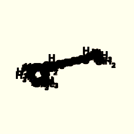 CO[C@H]1C[C@@H]2CC[C@@H](C)[C@@](O)(O2)C(=O)C(=O)N2CCCC[C@H]2C(=O)O[C@H]([C@H](N)C[C@@H]2CC[C@@H](OC(=O)NCCOCCOCCOCCOCCOCCOCCOCCOCCC(=O)NCc3ccc(Cn4nc(-c5ccc6oc(N)nc6c5)c5c(N)ncnc54)cc3)[C@H](OC)C2)C[C@@H](OC)[C@H](C)/C=C(\C)[C@@H](O)[C@@H](O)C(=O)[C@H](C)C[C@H](C)/C=C/C=C/C=C/1C